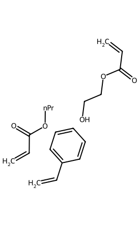 C=CC(=O)OCCC.C=CC(=O)OCCO.C=Cc1ccccc1